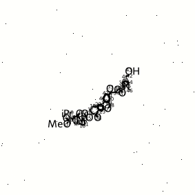 COC(=O)N[C@H](C(=O)N1[C@@H](C)CC[C@H]1C(=O)OC1CCc2cc3c(cc2C1=O)OCc1cc(C(=O)COC(=O)[C@@H]2C[C@H](CCO)CN2C)ccc1-3)C(C)C